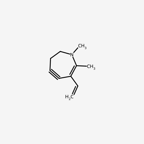 C=CC1=C(C)N(C)CCC#C1